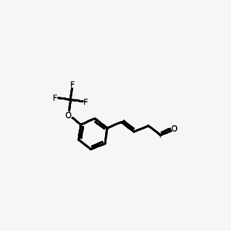 O=[C]C/C=C/c1cccc(OC(F)(F)F)c1